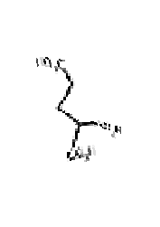 O=C(O)CCC(C(=O)O)S(=O)(=O)O